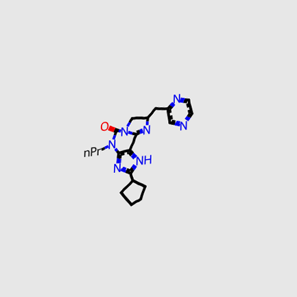 CCCN1C(=O)N2CC(Cc3cnccn3)N=C2c2[nH]c(C3CCCC3)nc21